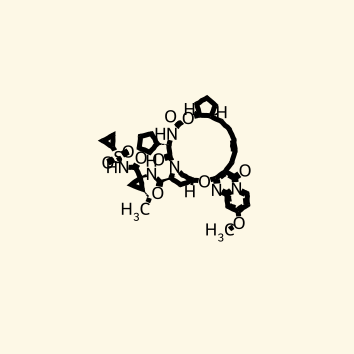 CC[C@@H]1C[C@]1(NC(=O)[C@@H]1C[C@@H]2CN1C(=O)[C@H](C1CCCC1)NC(=O)O[C@@H]1CCC[C@H]1CCC=CCc1c(nc3cc(OC)ccn3c1=O)O2)C(=O)NS(=O)(=O)C1CC1